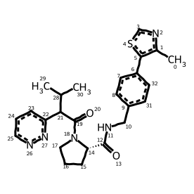 Cc1ncsc1-c1ccc(CNC(=O)[C@@H]2CCCN2C(=O)C(c2cccnn2)C(C)C)cc1